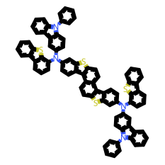 c1ccc(-n2c3ccccc3c3cc(N(c4ccc5c(c4)sc4ccc6c(ccc7sc8cc(N(c9ccc%10c(c9)c9ccccc9n%10-c9ccccc9)c9cccc%10c9sc9ccccc9%10)ccc8c76)c45)c4cccc5c4sc4ccccc45)ccc32)cc1